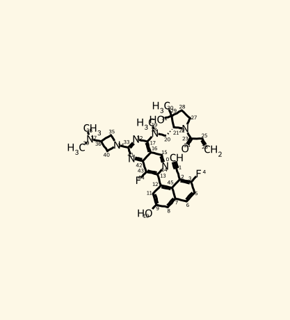 C#Cc1c(F)ccc2cc(O)cc(-c3ncc4c(N(C)C[C@H]5N(C(=O)C=C)CCC5(C)O)nc(N5CC(N(C)C)C5)nc4c3F)c12